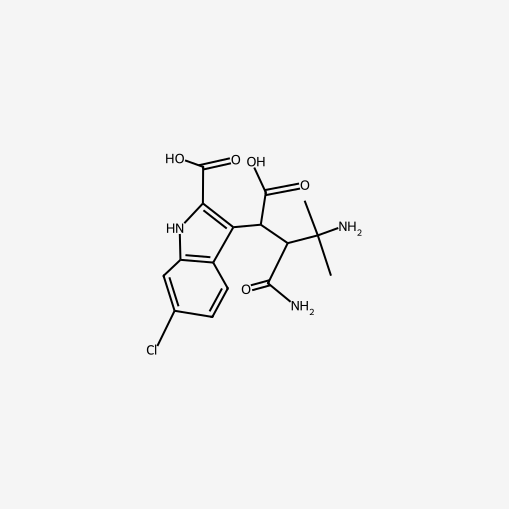 CC(C)(N)C(C(N)=O)C(C(=O)O)c1c(C(=O)O)[nH]c2cc(Cl)ccc12